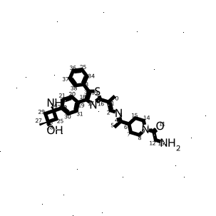 C/C(=C\N=C(/C)C1CCN(C(=O)CN)CC1)c1nc(-c2ccc([C@]3(N)C[C@](C)(O)C3)cc2)c(-c2ccccc2)s1